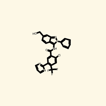 O=C(Nc1c2ccc(CO)cc2nn1-c1ccccc1)c1cc(-c2ncccn2)c(C(F)(F)F)cc1Cl